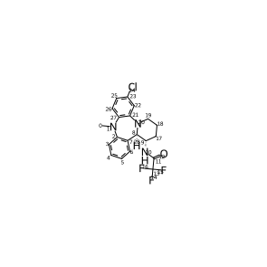 CN1c2ccccc2[C@@H]2[C@@H](NC(=O)C(F)(F)F)CCCN2c2cc(Cl)ccc21